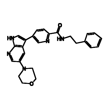 O=C(NCCc1ccccc1)c1ccc(-c2c[nH]c3ncc(N4CCOCC4)cc23)cn1